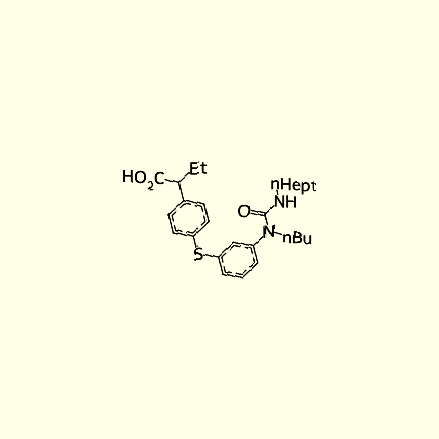 CCCCCCCNC(=O)N(CCCC)c1cccc(Sc2ccc(C(CC)C(=O)O)cc2)c1